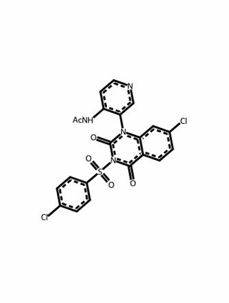 CC(=O)Nc1ccncc1-n1c(=O)n(S(=O)(=O)c2ccc(Cl)cc2)c(=O)c2ccc(Cl)cc21